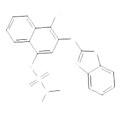 CN(C)S(=O)(=O)Nc1cc(Sc2nc3ccccc3s2)c(O)c2ccccc12